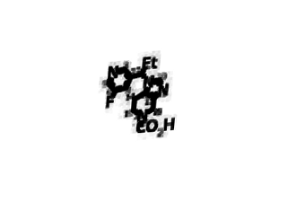 CCC(c1cncc(F)c1)n1cnc2c1CCN(C(=O)O)C2